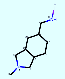 CN1CC2CCC(CNI)CC2C1